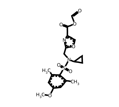 COc1cc(C)c(S(=O)(=O)N(Cc2nc(C(=O)OC=O)co2)C2CC2)c(C)c1